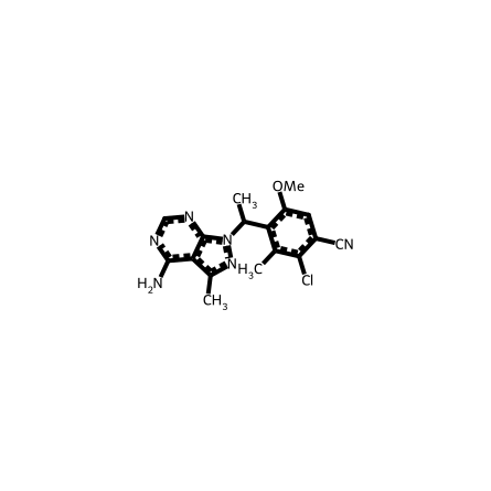 COc1cc(C#N)c(Cl)c(C)c1C(C)n1nc(C)c2c(N)ncnc21